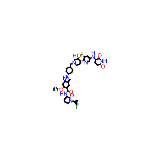 CC(C)Oc1cc2nn(C3CCC(CN4CC[C@@H](c5ncc(NC6CCC(=O)NC6=O)cc5F)[C@H](O)C4)CC3)cc2cc1C(=O)Nc1cccn([C@H]2C[C@H]2F)c1=O